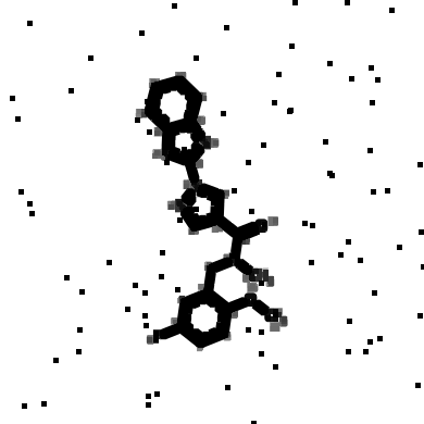 CN(Cc1cc(F)ccc1OC(F)(F)F)C(=O)c1cnn(-c2nc3ccccc3s2)c1